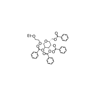 CCOCCO[C@@H]1O[C@H](COC(=O)c2ccccc2)[C@H](OC(=O)c2ccccc2)[C@H](OC(=O)c2ccccc2)[C@H]1OC(=O)c1ccccc1